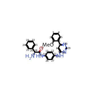 COc1ccccc1-c1cc(Nc2ccc(NC(=O)[C@@H](N)c3ccccc3)cc2)ncn1